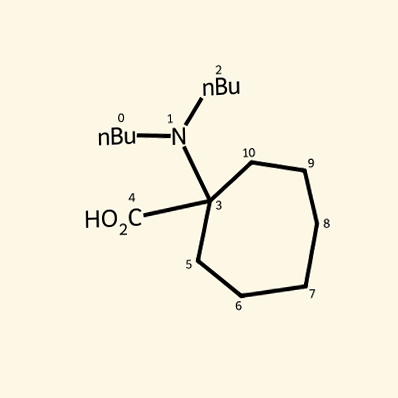 CCCCN(CCCC)C1(C(=O)O)CCCCCC1